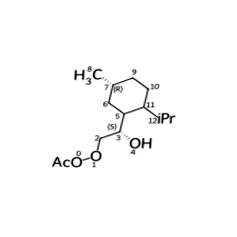 CC(=O)OOC[C@@H](O)C1C[C@H](C)CCC1C(C)C